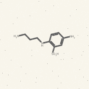 NCCCNc1ccc(N)cc1S(=O)(=O)O